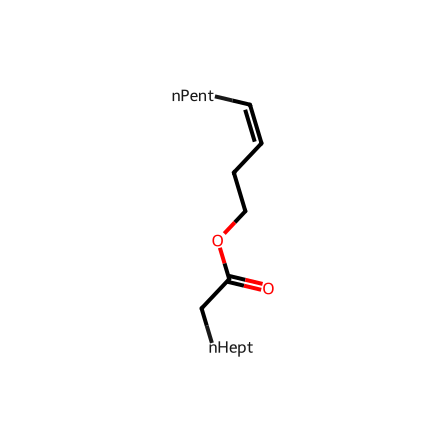 CCCCC/C=C\CCOC(=O)CCCCCCCC